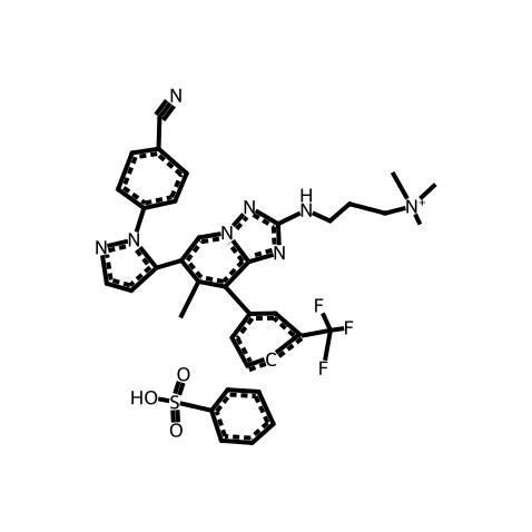 Cc1c(-c2ccnn2-c2ccc(C#N)cc2)cn2nc(NCCC[N+](C)(C)C)nc2c1-c1cccc(C(F)(F)F)c1.O=S(=O)(O)c1ccccc1